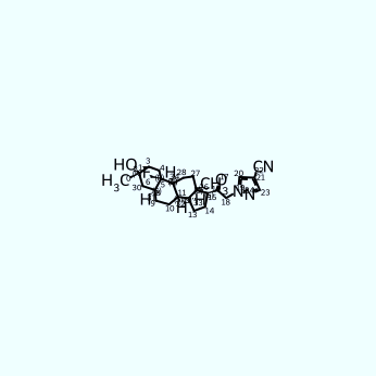 C[C@@]1(O)CC[C@@]2(CF)[C@@H](CC[C@H]3[C@@H]4CC[C@H](C(=O)Cn5cc(C#N)cn5)[C@@]4(C)CC[C@@H]32)C1